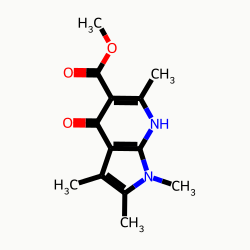 COC(=O)c1c(C)[nH]c2c(c(C)c(C)n2C)c1=O